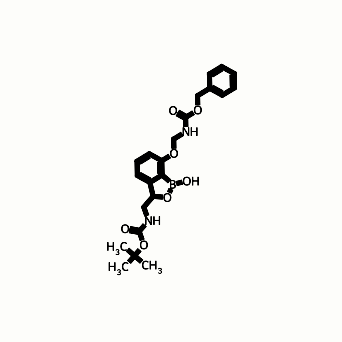 CC(C)(C)OC(=O)NCC1OB(O)c2c(OCNC(=O)OCc3ccccc3)cccc21